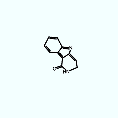 O=C1NCC=C2N=c3ccccc3=C12